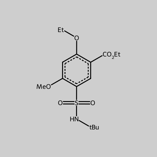 CCOC(=O)c1cc(S(=O)(=O)NC(C)(C)C)c(OC)cc1OCC